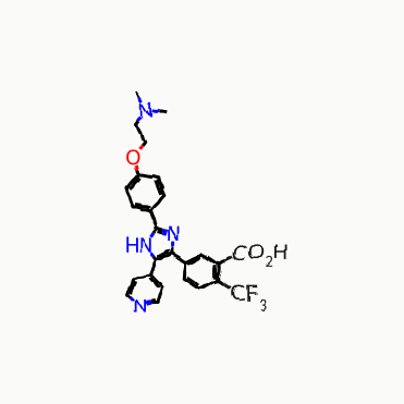 CN(C)CCOc1ccc(-c2nc(-c3ccc(C(F)(F)F)c(C(=O)O)c3)c(-c3ccncc3)[nH]2)cc1